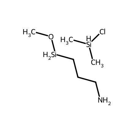 CO[SiH2]CCCN.C[SiH](C)Cl